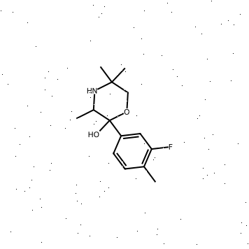 Cc1ccc(C2(O)OCC(C)(C)NC2C)cc1F